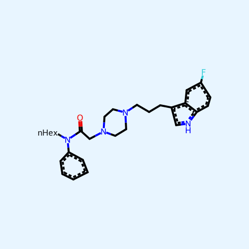 CCCCCCN(C(=O)CN1CCN(CCCc2c[nH]c3ccc(F)cc23)CC1)c1ccccc1